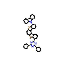 c1ccc(-c2nc(-c3ccccc3)nc(-c3cccc4c3sc3ccc5sc6c(-n7c8ccccc8c8ccccc87)cccc6c5c34)n2)cc1